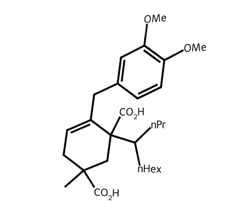 CCCCCCC(CCC)C1(C(=O)O)CC(C)(C(=O)O)CC=C1Cc1ccc(OC)c(OC)c1